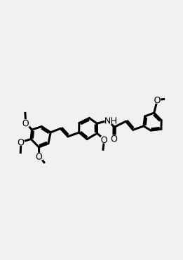 COc1cccc(/C=C/C(=O)Nc2ccc(C=Cc3cc(OC)c(OC)c(OC)c3)cc2OC)c1